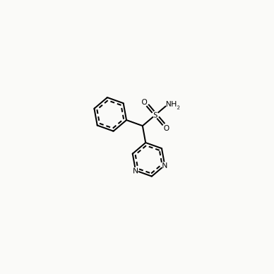 NS(=O)(=O)C(c1ccccc1)c1cncnc1